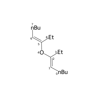 CCCC/C=C(\CC)O/C(=C/CCCC)CC